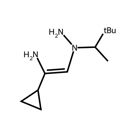 CC(N(N)/C=C(\N)C1CC1)C(C)(C)C